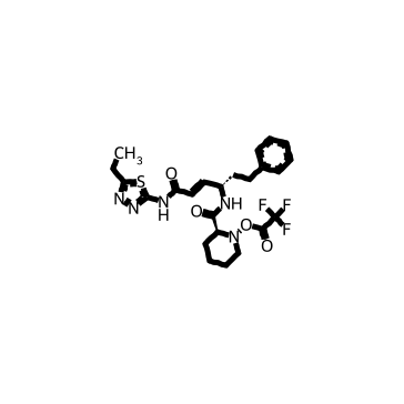 CCc1nnc(NC(=O)/C=C/[C@H](CCc2ccccc2)NC(=O)[C@@H]2CCCCN2OC(=O)C(F)(F)F)s1